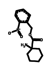 NC1(C(=O)OCc2ccccc2[N+](=O)[O-])CCCCC1